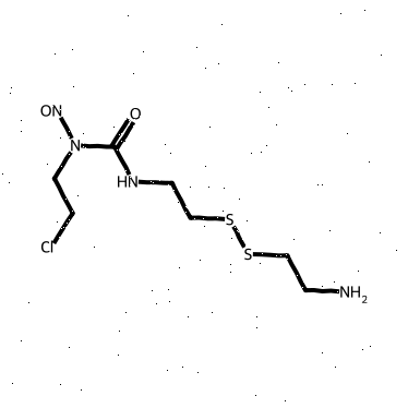 NCCSSCCNC(=O)N(CCCl)N=O